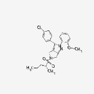 CCCC(C)S(=O)(=O)N1Cc2nn(-c3ccccc3OC)c(-c3ccc(Cl)cc3)c2C1